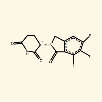 O=C1CC[C@H](N2Cc3cc(F)c(F)c(I)c3C2=O)C(=O)N1